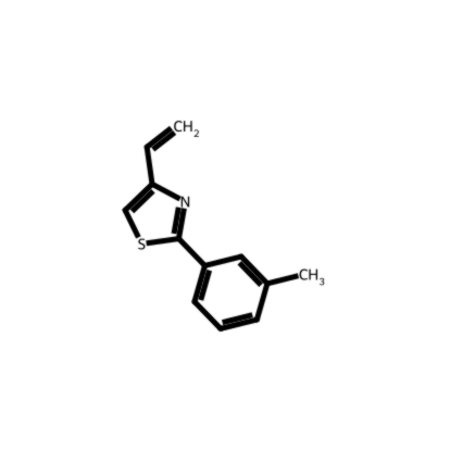 C=Cc1csc(-c2cccc(C)c2)n1